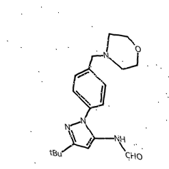 CC(C)(C)c1cc(NC=O)n(-c2ccc(CN3CCOCC3)cc2)n1